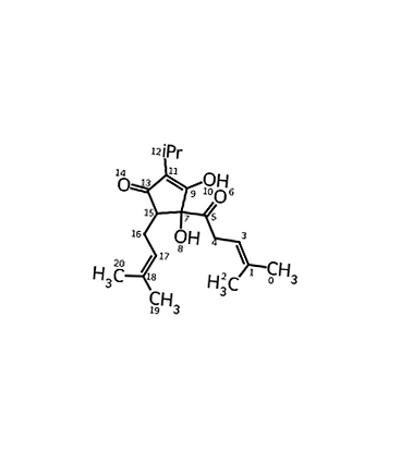 CC(C)=CCC(=O)C1(O)C(O)=C(C(C)C)C(=O)C1CC=C(C)C